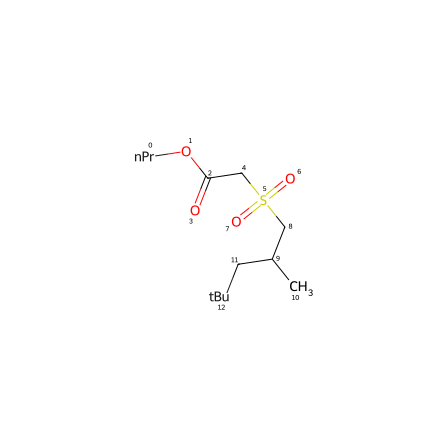 CCCOC(=O)CS(=O)(=O)CC(C)CC(C)(C)C